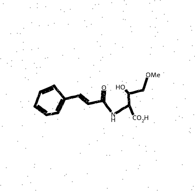 COCC(O)C(NC(=O)C=Cc1ccccc1)C(=O)O